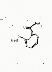 Cl.NC(=O)C1OC=CC=C1Cl